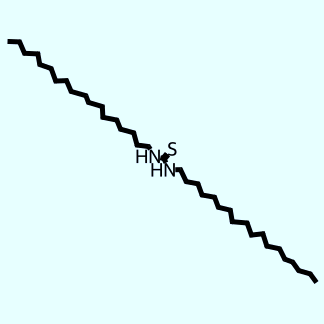 CCCCCCCCCCCCCCCCCCNC(=S)NCCCCCCCCCCCCCCCCCC